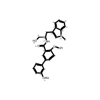 CCCOc1ccc(-c2cccc(OC)c2)cc1C(=O)N[C@@H](CO)Cc1cn(C)c2ccccc12